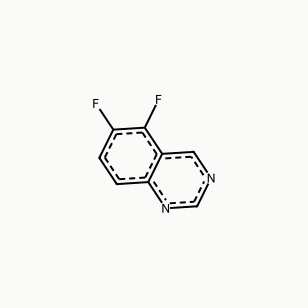 Fc1ccc2ncncc2c1F